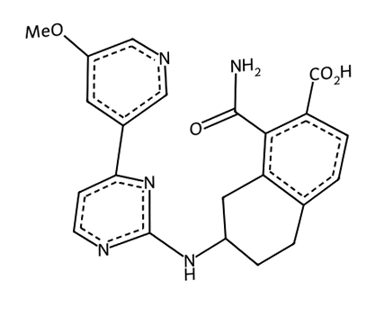 COc1cncc(-c2ccnc(NC3CCc4ccc(C(=O)O)c(C(N)=O)c4C3)n2)c1